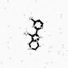 Nc1c(-c2nccc(Cl)n2)nn2c1COCC2